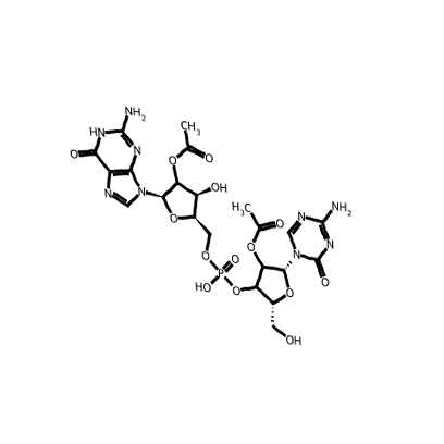 CC(=O)OC1C(OP(=O)(O)OC[C@H]2O[C@@H](n3cnc4c(=O)[nH]c(N)nc43)C(OC(C)=O)[C@H]2O)[C@@H](CO)O[C@H]1n1cnc(N)nc1=O